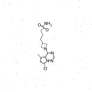 Cc1cc(Cl)n2ncnc(N3CC(CCCS(N)(=O)=O)C3)c12